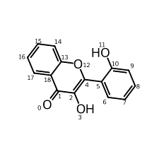 O=c1c(O)c(-c2ccccc2O)oc2ccccc12